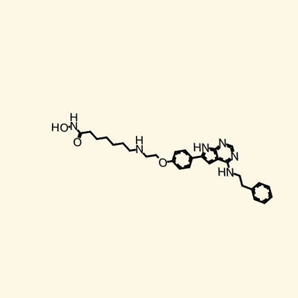 O=C(CCCCCCNCCOc1ccc(-c2cc3c(NCCc4ccccc4)ncnc3[nH]2)cc1)NO